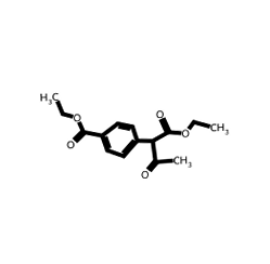 CCOC(=O)c1ccc(C(C(C)=O)C(=O)OCC)cc1